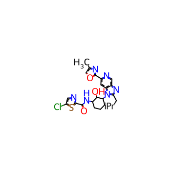 Cc1coc(-c2cc3c(cn2)nc(CC(C)C)n3C2CCCC(NC(=O)c3ncc(Cl)s3)C2O)n1